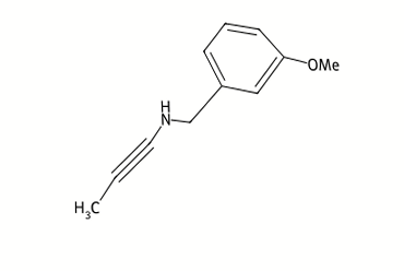 CC#CNCc1cccc(OC)c1